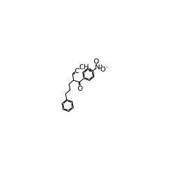 C=C=CC(CCCc1ccccc1)C(=O)c1ccc([N+](=O)[O-])cc1